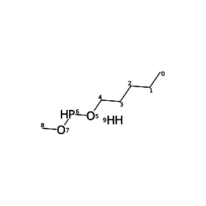 CCCCCOPOC.[HH]